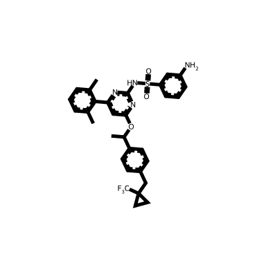 Cc1cccc(C)c1-c1cc(OC(C)c2ccc(CC3(C(F)(F)F)CC3)cc2)nc(NS(=O)(=O)c2cccc(N)c2)n1